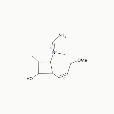 COC/C=C\C1C(O)C(C)C1/[N+](C)=C/N